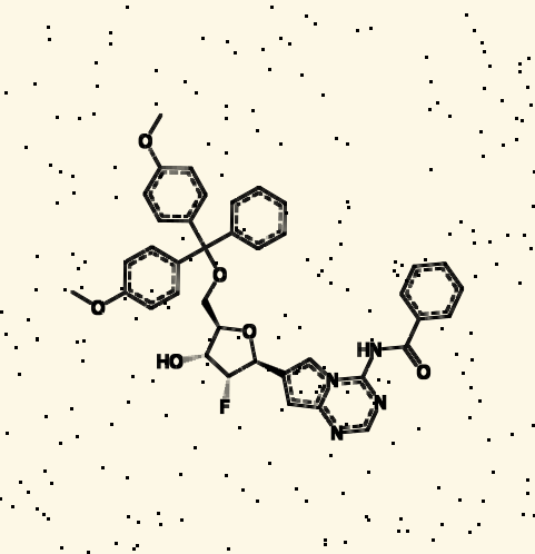 COc1ccc(C(OC[C@H]2O[C@@H](c3cc4ncnc(NC(=O)c5ccccc5)n4c3)[C@H](F)[C@@H]2O)(c2ccccc2)c2ccc(OC)cc2)cc1